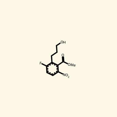 COC(=O)c1c([N+](=O)[O-])ccc(F)c1CCCO